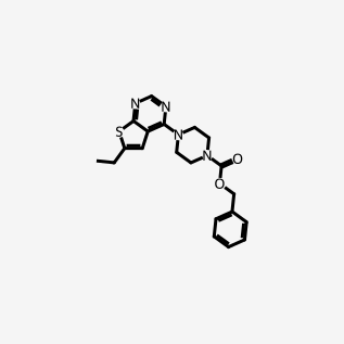 CCc1cc2c(N3CCN(C(=O)OCc4ccccc4)CC3)ncnc2s1